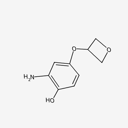 Nc1cc(OC2COC2)ccc1O